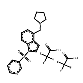 O=C(O)C(F)(F)F.O=C(O)C(F)(F)F.O=S(=O)(c1cccnc1)n1ccc2c(CN3CCCC3)cccc21